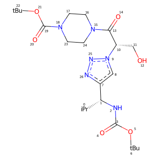 CC(C)[C@@H](NC(=O)OC(C)(C)C)c1cn([C@@H](CO)C(=O)N2CCN(C(=O)OC(C)(C)C)CC2)nn1